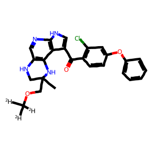 [2H]C([2H])([2H])OCC1(C)CNc2cnc3[nH]cc(C(=O)c4ccc(Oc5ccccc5)cc4Cl)c3c2N1